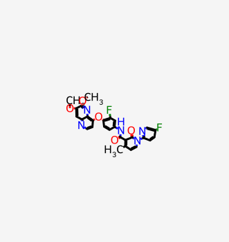 COc1cc2nccc(Oc3ccc(NC(=O)c4c(C)ccn(-c5ccc(F)cn5)c4=O)cc3F)c2nc1OC